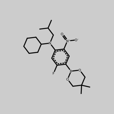 CC(C)CN(c1cc(F)c(B2OCC(C)(C)CO2)cc1[N+](=O)[O-])C1CCCCC1